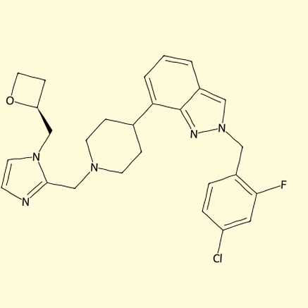 Fc1cc(Cl)ccc1Cn1cc2cccc(C3CCN(Cc4nccn4C[C@@H]4CCO4)CC3)c2n1